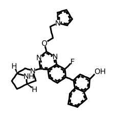 Oc1cc(-c2ccc3c(N4C[C@H]5CC[C@@H](C4)N5)nc(OCCn4cccc4)nc3c2F)c2ccccc2c1